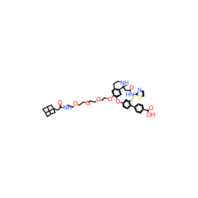 C[C@]1(CC(=O)Nc2nccs2)NCCc2cc(OCCOCCOCCOCCNC(=O)CC34CC5CC6CC(C3)C654)c(Oc3ccc(-c4ccc(C(=O)O)cc4)c(F)c3)cc21